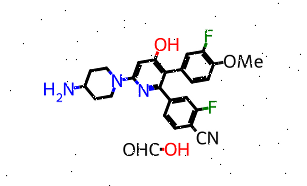 COc1ccc(-c2c(O)cc(N3CCC(N)CC3)nc2-c2ccc(C#N)c(F)c2)cc1F.O=CO